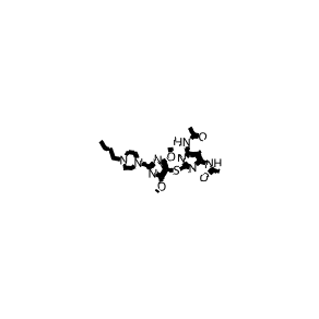 CCCCN1CCN(c2nc(OC)c(Sc3nc(NC(C)=O)cc(NC(C)=O)n3)c(OC)n2)CC1